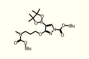 CN(CCCOc1nn(C(=O)OC(C)(C)C)cc1B1OC(C)(C)C(C)(C)O1)C(=O)OC(C)(C)C